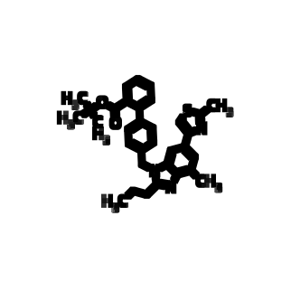 CCCc1nc2c(C)cc(-c3csc(C)n3)cc2n1Cc1ccc(-c2ccccc2C(=O)OC(C)(C)C)cc1